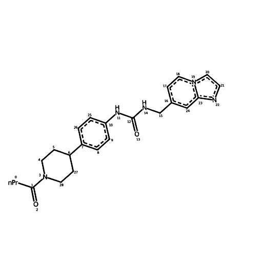 CCCC(=O)N1CCC(c2ccc(NC(=O)NCc3ccn4ccnc4c3)cc2)CC1